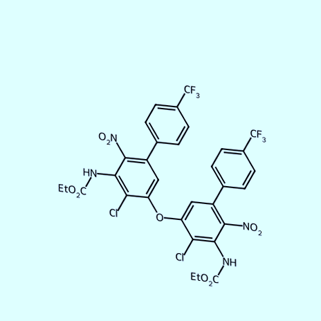 CCOC(=O)Nc1c(Cl)c(Oc2cc(-c3ccc(C(F)(F)F)cc3)c([N+](=O)[O-])c(NC(=O)OCC)c2Cl)cc(-c2ccc(C(F)(F)F)cc2)c1[N+](=O)[O-]